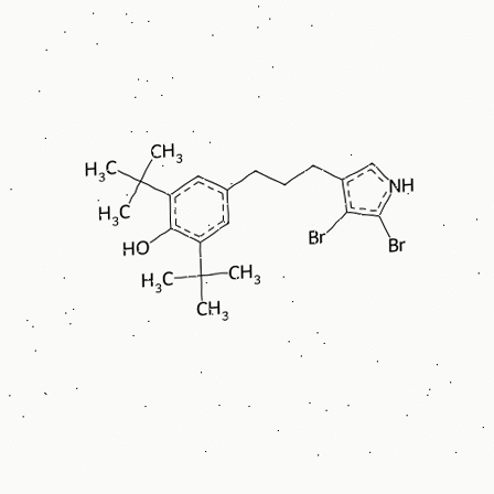 CC(C)(C)c1cc(CCCc2c[nH]c(Br)c2Br)cc(C(C)(C)C)c1O